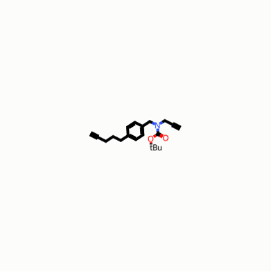 C#CCCCc1ccc(CN(CC#C)C(=O)OC(C)(C)C)cc1